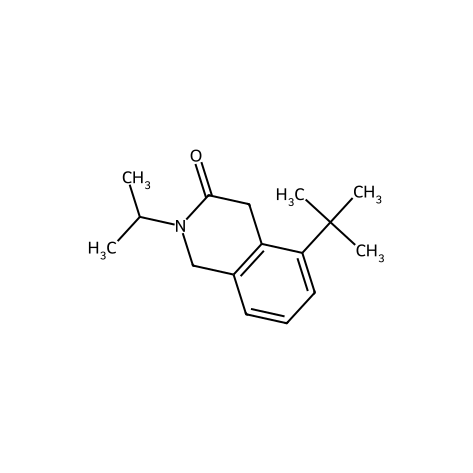 CC(C)N1Cc2cccc(C(C)(C)C)c2CC1=O